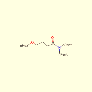 CCCCCCOCCCC(=O)N(CCCCC)CCCCC